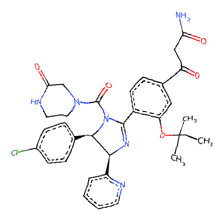 CC(C)(C)Oc1cc(C(=O)CC(N)=O)ccc1C1=N[C@@H](c2ccccn2)[C@@H](c2ccc(Cl)cc2)N1C(=O)N1CCNC(=O)C1